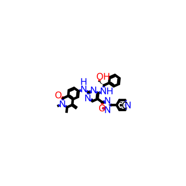 C=C1c2cc(Nc3ncc(-c4nc(C56CCN(CC5)CC6)no4)c(N[C@H](CO)c4ccccc4)n3)ccc2C(=O)N(C)C1C